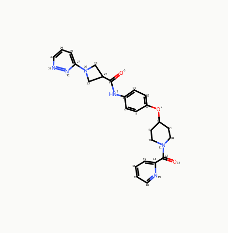 O=C(Nc1ccc(OC2CCN(C(=O)c3ccccn3)CC2)cc1)C1CN(c2cccnn2)C1